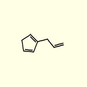 C=CCC1=[C]CC=C1